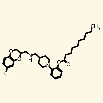 CCCCCCCCCC(=O)Oc1ccccc1N1CCC(CNCC2COc3ccc(Cl)cc3O2)CC1